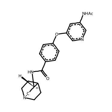 CC(=O)Nc1cncc(Oc2ccc(C(=O)N[C@H]3CN4CCC3CC4)cc2)c1